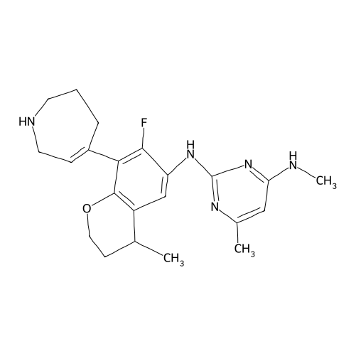 CNc1cc(C)nc(Nc2cc3c(c(C4=CCNCCC4)c2F)OCCC3C)n1